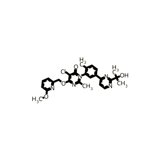 COc1cccc(COc2nc(C)n(-c3cc(-c4ccnc(C(C)(C)O)n4)ccc3C)c(=O)c2Cl)n1